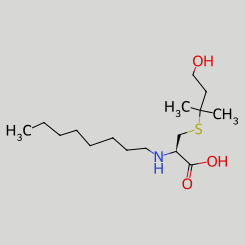 CCCCCCCCN[C@@H](CSC(C)(C)CCO)C(=O)O